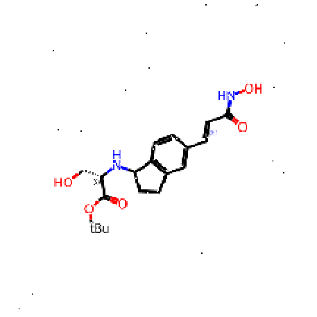 CC(C)(C)OC(=O)[C@H](CO)NC1CCc2cc(/C=C/C(=O)NO)ccc21